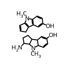 CN1C2C=CC(O)=CC2C2CCC(N)C21.Cn1c2c(c3cc(O)ccc31)CC=C2